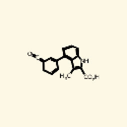 Cc1c(C(=O)O)[nH]c2cccc(C3=CC(=C=O)CC=C3)c12